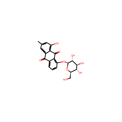 Cc1cc(O)c2c(c1)C(=O)c1cccc(O[C@@H]3O[C@H](CO)[C@@H](O)[C@H](O)[C@H]3O)c1C2=O